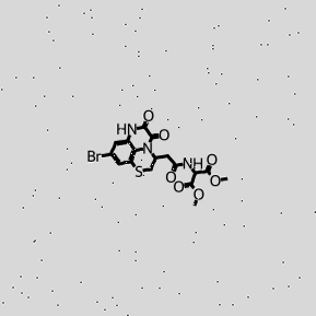 COC(=O)C(NC(=O)CC1CSc2cc(Br)cc3[nH]c(=O)c(=O)n1c23)C(=O)OC